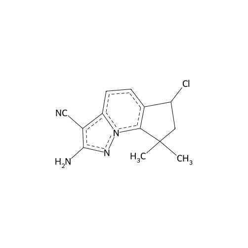 CC1(C)CC(Cl)c2ccc3c(C#N)c(N)nn3c21